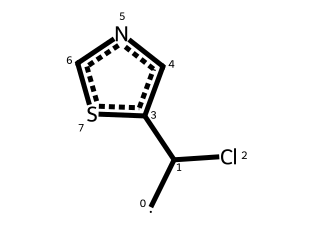 [CH2]C(Cl)c1cncs1